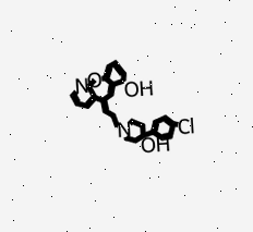 OC1C=CC=C2Oc3ncccc3C(=CCCN3CCC(O)(c4ccc(Cl)cc4)CC3)C=C21